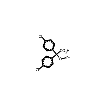 CC(C)OC(C(=O)O)(c1ccc(Cl)cc1)c1ccc(Cl)cc1